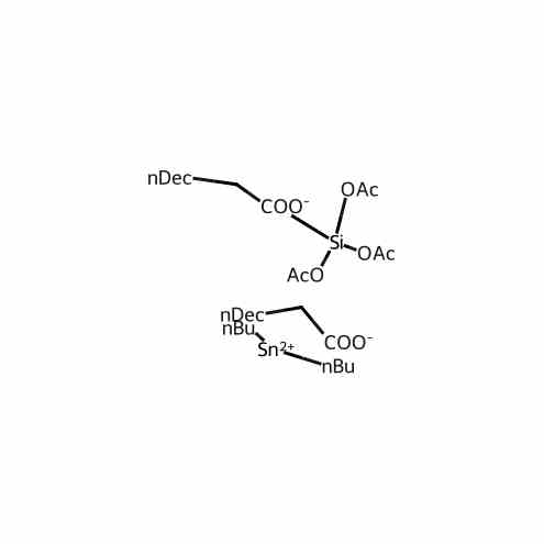 CC(=O)O[Si](C)(OC(C)=O)OC(C)=O.CCCCCCCCCCCC(=O)[O-].CCCCCCCCCCCC(=O)[O-].CCC[CH2][Sn+2][CH2]CCC